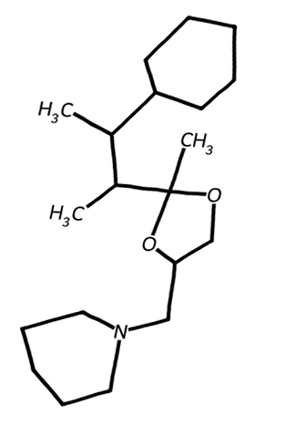 CC(C1CCCCC1)C(C)C1(C)OCC(CN2CCCCC2)O1